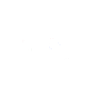 O=C(Nc1cc(C(F)(F)F)ccn1)c1ccc(Br)c(Cl)c1